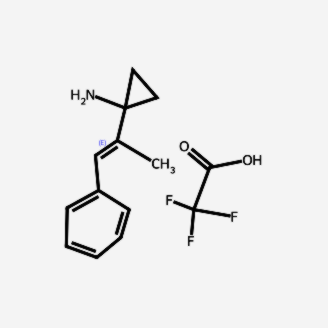 C/C(=C\c1ccccc1)C1(N)CC1.O=C(O)C(F)(F)F